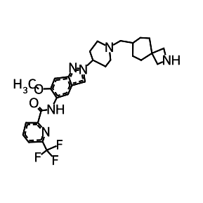 COc1cc2nn(C3CCN(CC4CCC5(CC4)CNC5)CC3)cc2cc1NC(=O)c1cccc(C(F)(F)F)n1